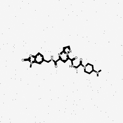 C[C@H](NC(=O)c1cc(C(=O)NCc2ccc3oc(=O)n(C)c3c2)nc2ccnn12)C(=O)N1CCC(N(C)C)CC1